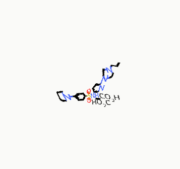 C=CCN1CCN(c2ccc(NS(=O)(=O)c3ccc(N4CCCC4)cc3)cn2)CC1.O=C(O)/C=C/C(=O)O